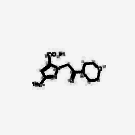 CCOC(=O)c1cc(C(C)(C)C)nn1CC(=O)N1CCOCC1